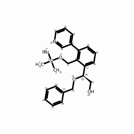 CC(C)(C)[Si](C)(C)OCc1c(-c2cccnc2)cccc1[C@@H](CO)OCc1ccccc1